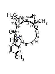 Cc1ccc2c(c1)N1CCCCCOc3c(cnn3C)-c3cc(cc(C)n3)C(=O)/N=C/1N2